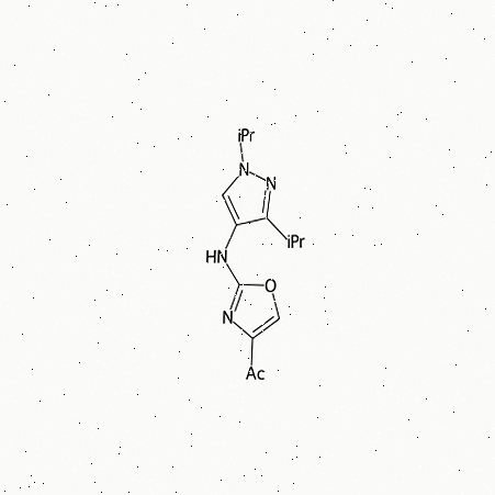 CC(=O)c1coc(Nc2cn(C(C)C)nc2C(C)C)n1